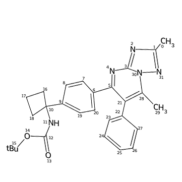 Cc1nc2nc(-c3ccc(C4(NC(=O)OC(C)(C)C)CCC4)cc3)c(-c3ccccc3)c(C)n2n1